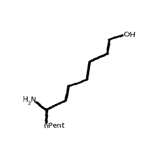 CCCCCC(N)CCCCCCO